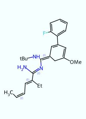 C\C=C/C=C(CC)/C(N)=N/C(NC(C)(C)C)=C1/C=C(c2ccccc2F)C=C(OC)C1